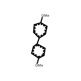 [CH2-][OH+]c1ccc(-c2ccc(OC)cc2)cc1